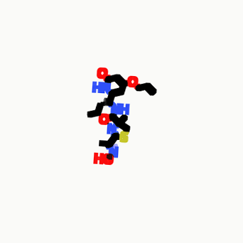 C=CCOc1cc([C@@H](CCC)NC(=O)C2(C)CSC(/C(C)=N/O)=N2)[nH]c(=O)c1